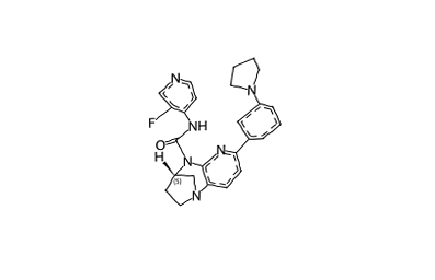 O=C(Nc1ccncc1F)N1c2nc(-c3cccc(N4CCCC4)c3)ccc2N2CC[C@H]1C2